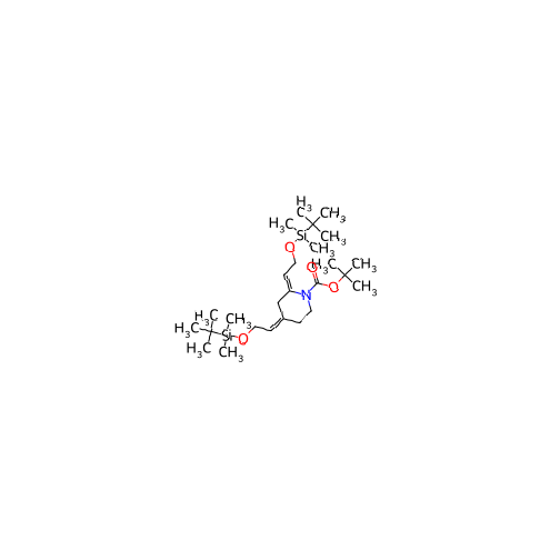 CC(C)(C)OC(=O)N1CCC(=CCO[Si](C)(C)C(C)(C)C)CC1=CCO[Si](C)(C)C(C)(C)C